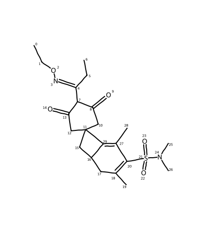 CCON=C(CC)C1C(=O)CC2(CC1=O)CC1CC(C)=C(S(=O)(=O)N(C)C)C(C)=C12